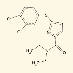 CCN(CC)C(=O)n1ccc(Sc2ccc(Cl)c(Cl)c2)n1